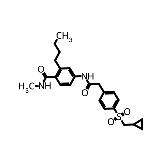 CCCCc1cc(NC(=O)Cc2ccc(S(=O)(=O)CC3CC3)cc2)ccc1C(=O)NC